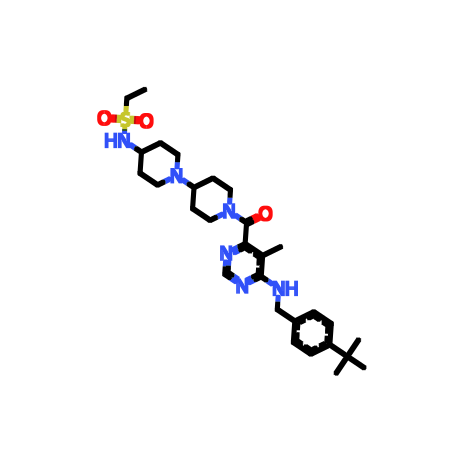 CCS(=O)(=O)NC1CCN(C2CCN(C(=O)c3ncnc(NCc4ccc(C(C)(C)C)cc4)c3C)CC2)CC1